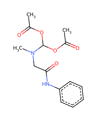 CC(=O)OC(OC(C)=O)N(C)CC(=O)Nc1ccccc1